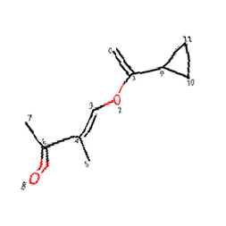 C=C(O/C=C(\C)C(C)=O)C1CC1